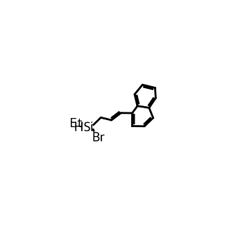 CC[SiH](Br)CC=Cc1cccc2ccccc12